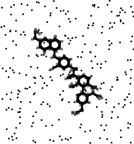 COc1ccc(-c2c(C)ncc(C(=O)Nc3ccc(Oc4ccnc5cc(OC)cnc45)c(F)c3)c2O)c(OC)c1